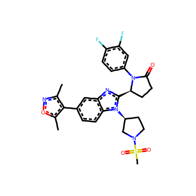 Cc1noc(C)c1-c1ccc2c(c1)nc([C@@H]1CCC(=O)N1c1ccc(F)c(F)c1)n2[C@H]1CCN(S(C)(=O)=O)C1